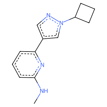 CNc1cccc(-c2cnn(C3CCC3)c2)n1